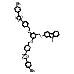 CC(C)(C)c1ccc(-c2nnc(C3=CCC(COc4cc(COc5ccc6c(c5)[nH]c5ccccc56)cc(OCc5ccc(-c6nnc(-c7ccc(C(C)(C)C)cc7)o6)cc5)c4)C=C3)o2)cc1